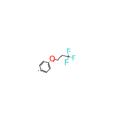 FC(F)(F)CCOc1cc[c]cc1